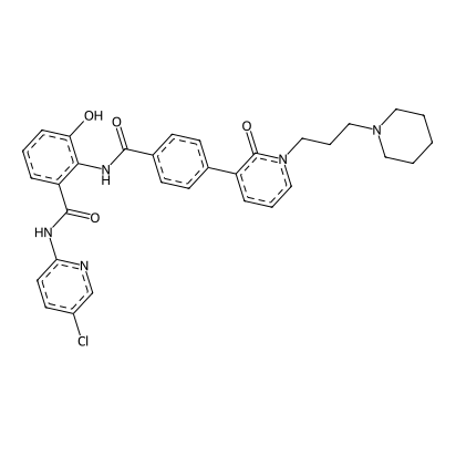 O=C(Nc1c(O)cccc1C(=O)Nc1ccc(Cl)cn1)c1ccc(-c2cccn(CCCN3CCCCC3)c2=O)cc1